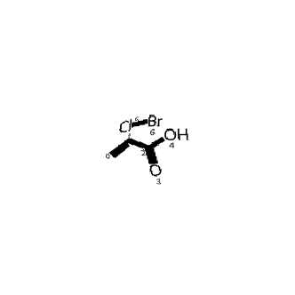 C=CC(=O)O.ClBr